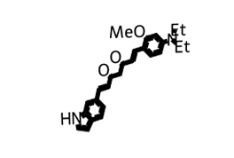 CCN(CC)c1ccc(C=CC(=O)CC(=O)C=Cc2ccc3cc[nH]c3c2)c(OC)c1